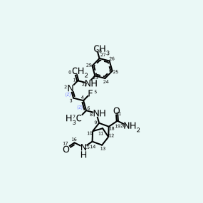 C=C(/N=C\C(F)=C(/C)NC1C2CC(CC2NC=O)C1C(N)=O)Nc1cccc(C)c1